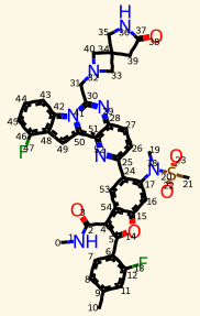 CNC(=O)c1c(-c2ccc(C)cc2F)oc2cc(N(C)S(C)(=O)=O)c(-c3ccc4nc(CN5CC6(CNC(=O)C6)C5)n5c6cccc(F)c6cc5c4n3)cc12